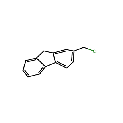 ClCc1ccc2c(c1)Cc1ccccc1-2